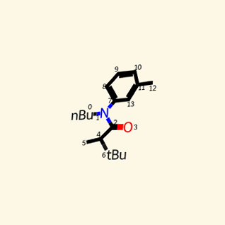 CCCCN(C(=O)C(C)C(C)(C)C)c1cccc(C)c1